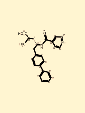 C[C@H](C[C@@H](Cc1ccc(-c2ccccc2)cc1)NC(=O)c1ccnnc1)C(=O)O